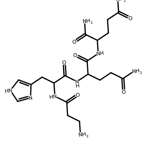 NCCC(=O)NC(Cc1c[nH]cn1)C(=O)NC(CCC(N)=O)C(=O)NC(CCC(N)=O)C(N)=O